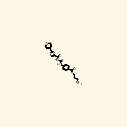 CCCCOC(=O)c1ccc(NC(=S)NC(=O)c2csc(-c3ccncc3)n2)cc1